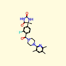 Cc1cc(C)c(N2CCN(C(=O)c3ccc([C@@]4(C)NC(=O)NC4=O)cc3F)CC2)nc1C